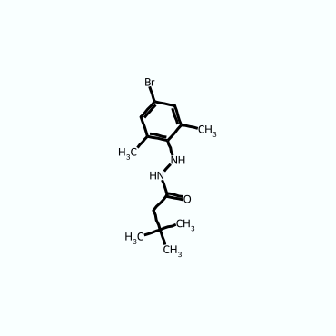 Cc1cc(Br)cc(C)c1NNC(=O)CC(C)(C)C